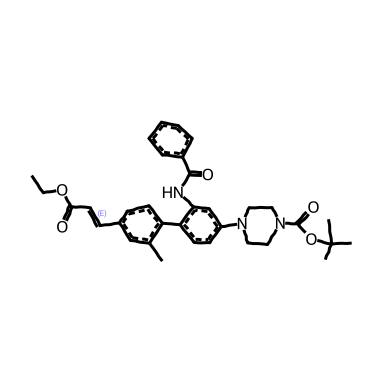 CCOC(=O)/C=C/c1ccc(-c2ccc(N3CCN(C(=O)OC(C)(C)C)CC3)cc2NC(=O)c2ccccc2)c(C)c1